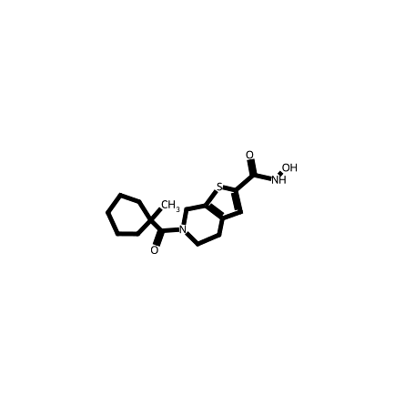 CC1(C(=O)N2CCc3cc(C(=O)NO)sc3C2)CCCCC1